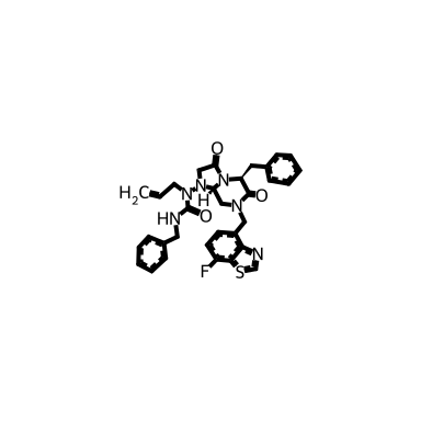 C=CCN(C(=O)NCc1ccccc1)N1CC(=O)N2[C@@H](Cc3ccccc3)C(=O)N(Cc3ccc(F)c4scnc34)C[C@@H]21